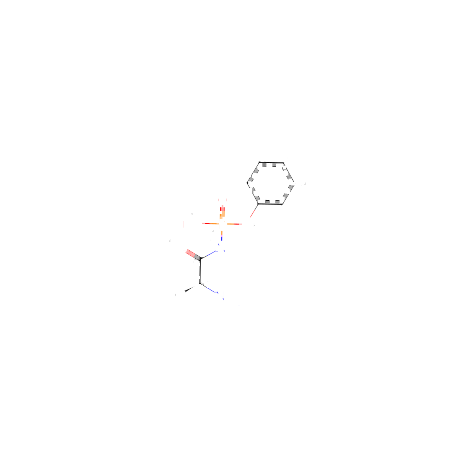 C[C@H](N)C(=O)NP(=O)(O)Oc1ccccc1